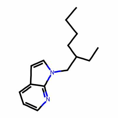 CCCCC(CC)Cn1ccc2cccnc21